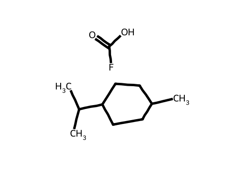 CC1CCC(C(C)C)CC1.O=C(O)F